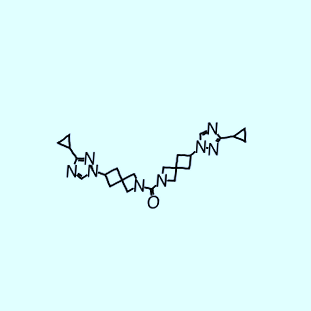 O=C(N1CC2(CC(n3cnc(C4CC4)n3)C2)C1)N1CC2(CC(n3cnc(C4CC4)n3)C2)C1